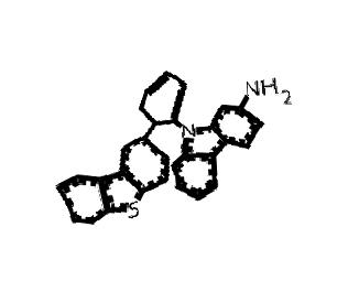 Nc1ccc2c3ccccc3n(C3=CC=CCC3c3ccc4sc5ccccc5c4c3)c2c1